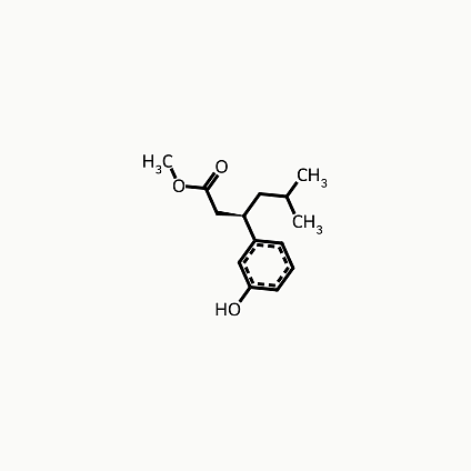 COC(=O)C[C@@H](CC(C)C)c1cccc(O)c1